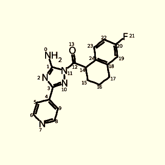 Nc1nc(-c2ccncc2)nn1C(=O)C1CCCc2cc(F)ccc21